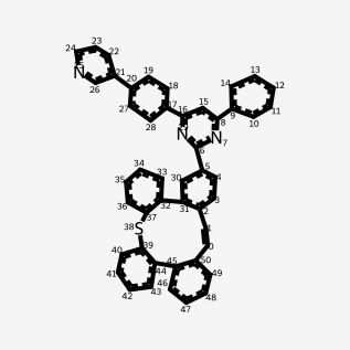 C1=C\c2ccc(-c3nc(-c4ccccc4)cc(-c4ccc(-c5cccnc5)cc4)n3)cc2-c2ccccc2Sc2ccccc2-c2ccccc2/1